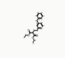 CCOC(=O)C(CCc1cc(Cc2ccccc2)ccn1)C(=O)OCC